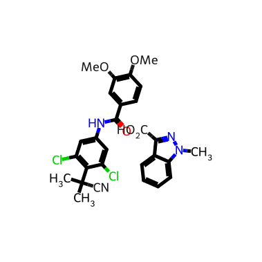 COc1ccc(C(=O)Nc2cc(Cl)c(C(C)(C)C#N)c(Cl)c2)cc1OC.Cn1nc(C(=O)O)c2ccccc21